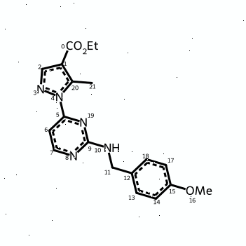 CCOC(=O)c1cnn(-c2ccnc(NCc3ccc(OC)cc3)n2)c1C